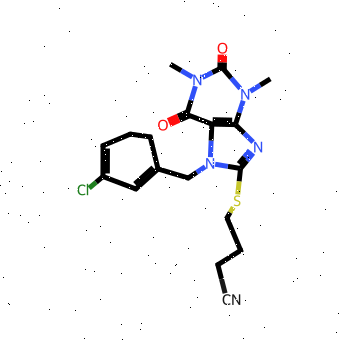 Cn1c(=O)c2c(nc(SCCCC#N)n2CC2=CC(Cl)=CCC2)n(C)c1=O